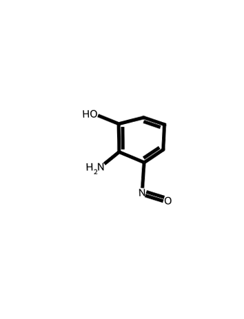 Nc1c(O)cccc1N=O